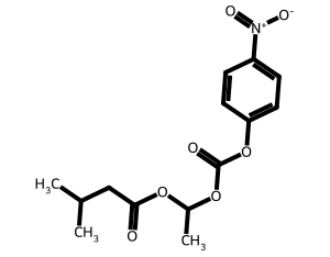 CC(C)CC(=O)OC(C)OC(=O)Oc1ccc([N+](=O)[O-])cc1